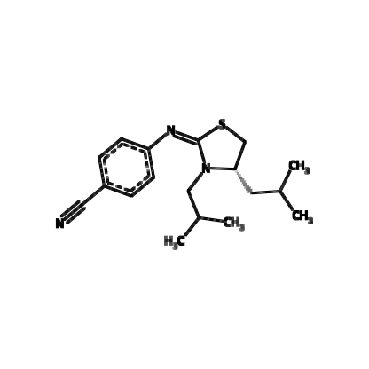 CC(C)C[C@H]1CSC(=Nc2ccc(C#N)cc2)N1CC(C)C